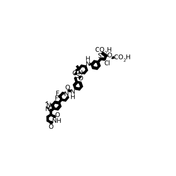 Cn1nc(C2CCC(=O)NC2=O)c2ccc(C3CCN(C(=O)Nc4cccc(CS(=O)(=O)N5CC[C@H](Nc6cccc(-c7sc(C(=O)O)c(OCC(=O)O)c7Cl)c6)CC5(C)C)c4)CC3(F)F)cc21